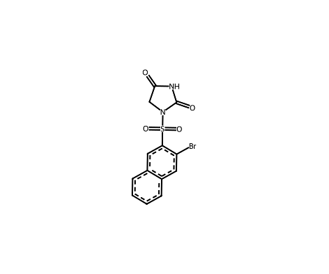 O=C1CN(S(=O)(=O)c2cc3ccccc3cc2Br)C(=O)N1